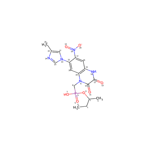 CCC(C)OP(=O)(O)Cn1c(=O)c(=O)[nH]c2cc([N+](=O)[O-])c(-n3cnc(C)c3)cc21